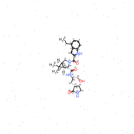 CCc1cccc2[nH]c(C(=O)N3C[C@H]4[C@@H]([C@H]3C(=O)N[C@H](CO)C[C@@H]3CCNC3=O)C4(C)C)cc12